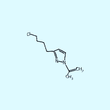 C=C(C)n1ccc(CCCCCl)n1